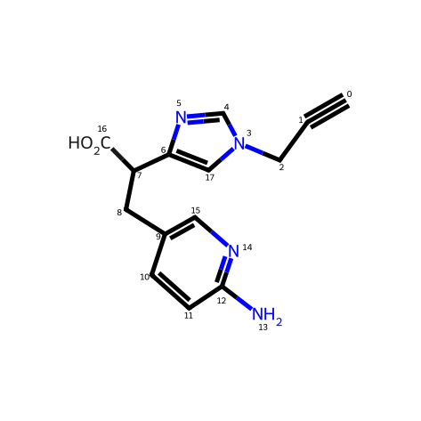 C#CCn1cnc(C(Cc2ccc(N)nc2)C(=O)O)c1